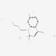 CC1(C)C=C(CS(=O)(=O)O)c2ccc(O)cc2N1CCCC(=O)O